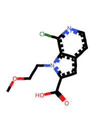 COCCn1c(C(=O)O)cc2ccnc(Cl)c21